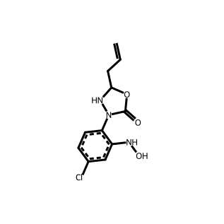 C=CCC1NN(c2ccc(Cl)cc2NO)C(=O)O1